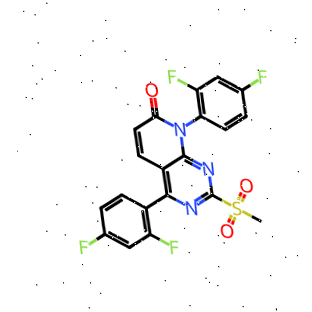 CS(=O)(=O)c1nc(-c2ccc(F)cc2F)c2ccc(=O)n(-c3ccc(F)cc3F)c2n1